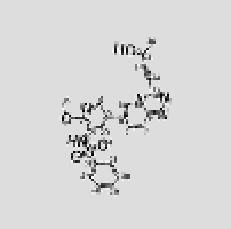 COc1ncc(-c2ccc3nnc(C#CC(C)O)n3c2)cc1NS(=O)(=O)c1ccccc1